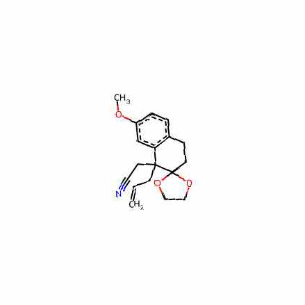 C=CCC1(CC#N)c2cc(OC)ccc2CCC12OCCO2